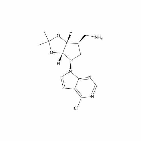 CC1(C)O[C@@H]2[C@@H](CN)C[C@@H](n3ccc4c(Cl)ncnc43)[C@@H]2O1